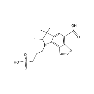 CC1N(CCCS(=O)(=O)O)c2c(cc(C(=O)O)c3sccc23)C1(C)C